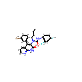 CCCCN(C(=O)Nc1ccc(F)cc1F)c1c(-c2cccc(Br)c2)c2cccnc2[nH]c1=O